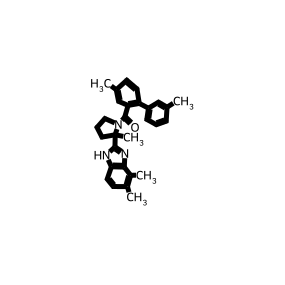 Cc1cccc(-c2ccc(C)cc2C(=O)N2CCCC2(C)c2nc3c(C)c(C)ccc3[nH]2)c1